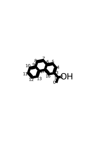 CC(O)c1ccc2ccc3ccccc3c2c1